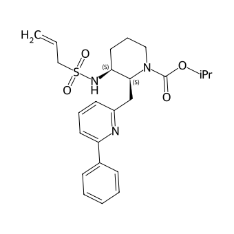 C=CCS(=O)(=O)N[C@H]1CCCN(C(=O)OC(C)C)[C@H]1Cc1cccc(-c2ccccc2)n1